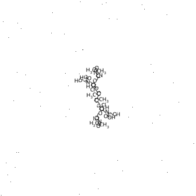 Cc1c(COc2cc(OCc3cncc(N=S(C)(C)=O)c3)c(CN[C@@H](CCO)C(=O)O)cc2Cl)cccc1-c1cccc(COc2cc(OCc3cncc(N=S(C)(C)=O)c3)c(CN[C@@H](CCO)C(=O)O)cc2Cl)c1C